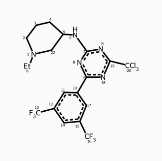 CCN1CCCC(Nc2nc(-c3cc(C(F)(F)F)cc(C(F)(F)F)c3)nc(C(Cl)(Cl)Cl)n2)C1